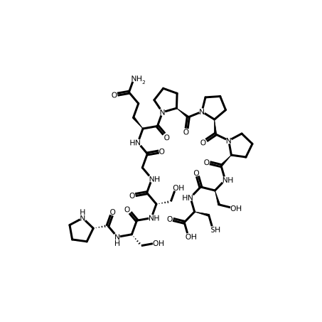 NC(=O)CC[C@H](NC(=O)CNC(=O)[C@H](CO)NC(=O)[C@H](CO)NC(=O)[C@@H]1CCCN1)C(=O)N1CCC[C@H]1C(=O)N1CCC[C@H]1C(=O)N1CCC[C@H]1C(=O)N[C@@H](CO)C(=O)N[C@@H](CS)C(=O)O